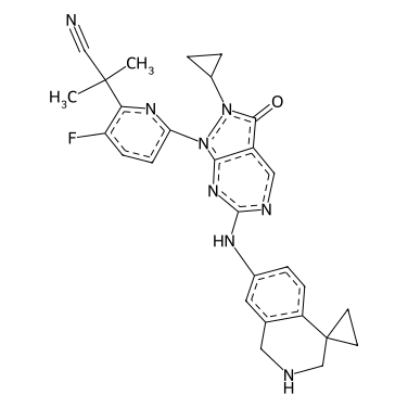 CC(C)(C#N)c1nc(-n2c3nc(Nc4ccc5c(c4)CNCC54CC4)ncc3c(=O)n2C2CC2)ccc1F